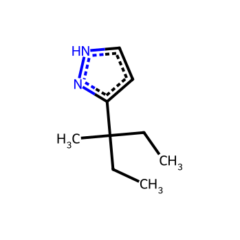 CCC(C)(CC)c1cc[nH]n1